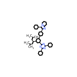 C=C(C)/C=C(\C=C(C)C)c1cc(-c2ccc(-c3nc4ccccn4c3-c3ccccc3)cc2)cc(-c2nc(-c3ccccc3)nc(-c3ccccc3)n2)c1